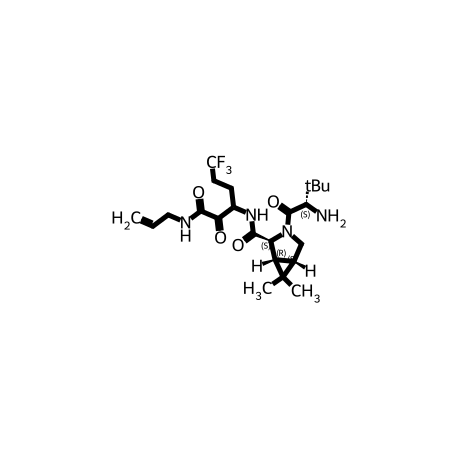 C=CCNC(=O)C(=O)C(CCC(F)(F)F)NC(=O)[C@@H]1[C@@H]2[C@H](CN1C(=O)[C@@H](N)C(C)(C)C)C2(C)C